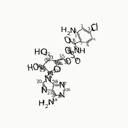 Nc1cc(Cl)ccc1C(=O)NS(=O)(=O)OC[C@H]1O[C@@H](n2cnc3c(N)ncnc32)[C@H](O)[C@@H]1O